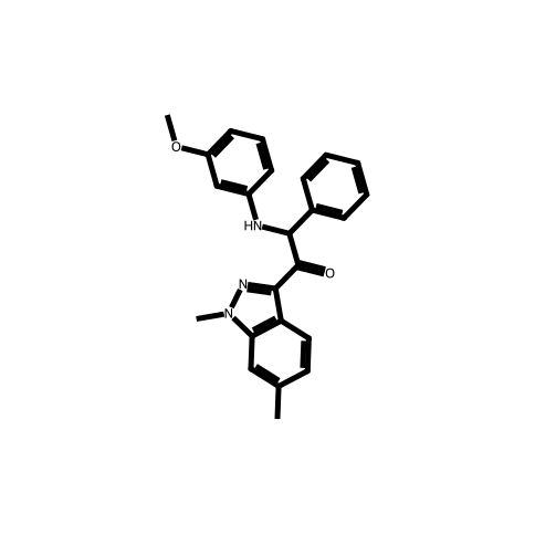 COc1cccc(NC(C(=O)c2nn(C)c3cc(C)ccc23)c2ccccc2)c1